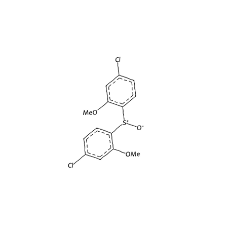 COc1cc(Cl)ccc1[S+]([O-])c1ccc(Cl)cc1OC